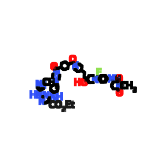 CCOC(=O)c1cnc(Nc2cnn(C)c2)nc1NC1CCC(N2CCN(C(=O)C3CCC(C(=O)N4CCC(CCC5(O)CCN(c6ccc(NC7CCC(=O)N(C)C7=O)cc6F)CC5)CC4)CC3)CC2)CC1